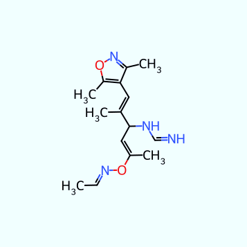 C/C=N/O/C(C)=C/C(NC=N)/C(C)=C/c1c(C)noc1C